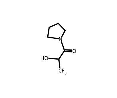 O=C(C(O)C(F)(F)F)N1CCCC1